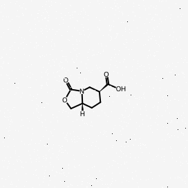 O=C(O)[C@H]1CC[C@@H]2COC(=O)N2C1